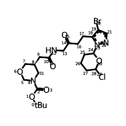 CC(C)(C)OC(=O)N1COC[C@@H](CC(=O)NCC(=O)CCc2c(Br)cnn2C2CCCC(Cl)O2)C1